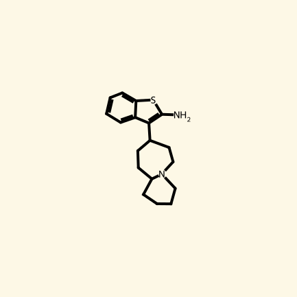 Nc1sc2ccccc2c1C1CCC2CCCCN2CC1